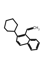 C=Cc1c(C2CCCCC2)ccc2ccccc12